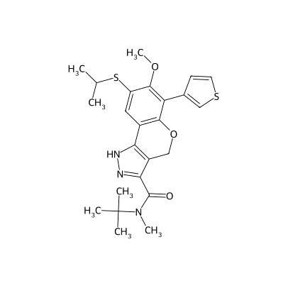 COc1c(SC(C)C)cc2c(c1-c1ccsc1)OCc1c(C(=O)N(C)C(C)(C)C)n[nH]c1-2